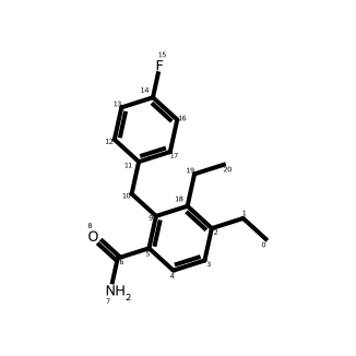 CCc1ccc(C(N)=O)c(Cc2ccc(F)cc2)c1CC